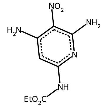 CCOC(=O)Nc1cc(N)c([N+](=O)[O-])c(N)n1